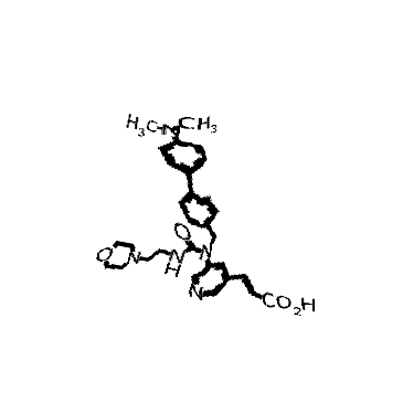 CN(C)c1ccc(-c2ccc(CN(C(=O)NCCN3CCOCC3)c3cncc(/C=C/C(=O)O)c3)cc2)cc1